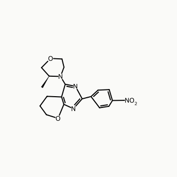 C[C@H]1COCCN1c1nc(-c2ccc([N+](=O)[O-])cc2)nc2c1CCCO2